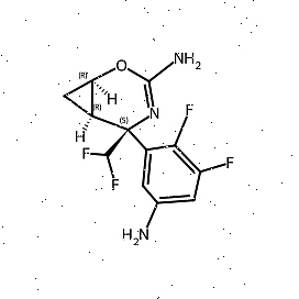 NC1=N[C@@](c2cc(N)cc(F)c2F)(C(F)F)[C@H]2C[C@H]2O1